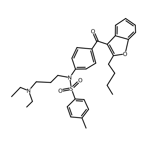 CCCCc1oc2ccccc2c1C(=O)c1ccc(N(CCCN(CC)CC)S(=O)(=O)c2ccc(C)cc2)cc1